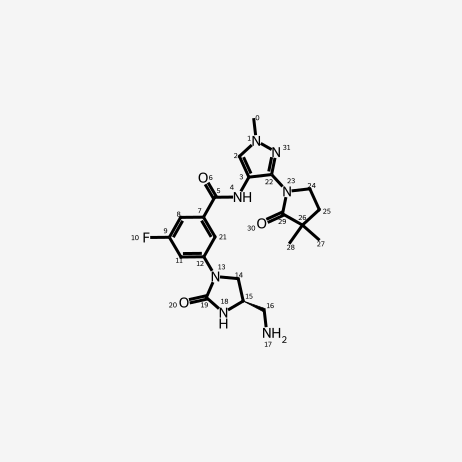 Cn1cc(NC(=O)c2cc(F)cc(N3C[C@@H](CN)NC3=O)c2)c(N2CCC(C)(C)C2=O)n1